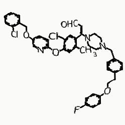 Cc1cc(Oc2ccc(OCc3ccccc3Cl)cn2)c(Cl)cc1/C(=C\C=O)N1CCN(Cc2ccc(CCOc3ccc(F)cc3)cc2)CC1